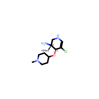 CCCCCC[C@@]1(N)CNC=C(Cl)[C@H]1OC1CCN(C)CC1